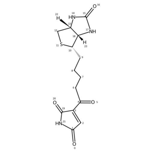 O=C1C=C(C(=O)CCCC[C@@H]2SC[C@@H]3NC(=O)N[C@@H]32)C(=O)N1